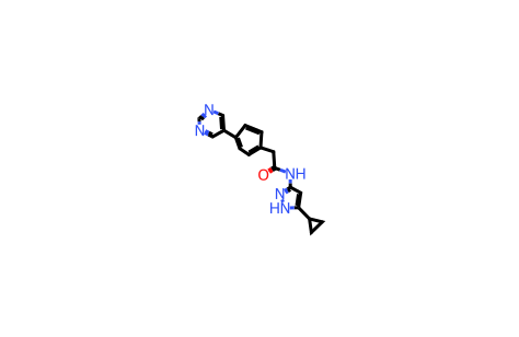 O=C(Cc1ccc(-c2cncnc2)cc1)Nc1cc(C2CC2)[nH]n1